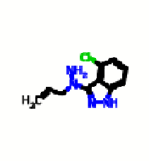 C=CCN(N)c1n[nH]c2cccc(Cl)c12